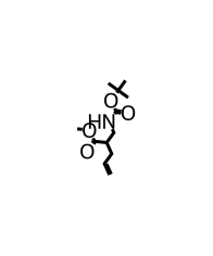 C=CCC(CNC(=O)OC(C)(C)C)C(=O)OC